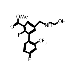 COC(=O)c1cc(CNCCO)cc(-c2ccc(F)cc2C(F)(F)F)c1F